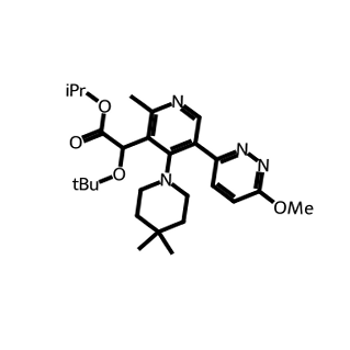 COc1ccc(-c2cnc(C)c(C(OC(C)(C)C)C(=O)OC(C)C)c2N2CCC(C)(C)CC2)nn1